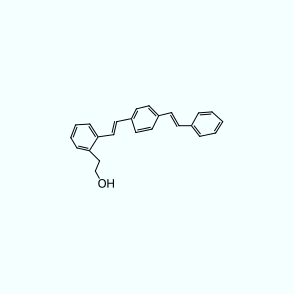 OCCc1ccccc1C=Cc1ccc(C=Cc2ccccc2)cc1